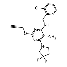 C#CCOc1nc(NCc2ccccc2Cl)c(N)c(N2CCC(F)(F)C2)n1